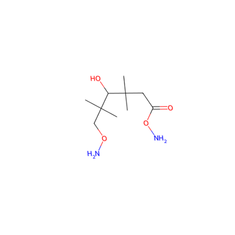 CC(C)(CON)C(O)C(C)(C)CC(=O)ON